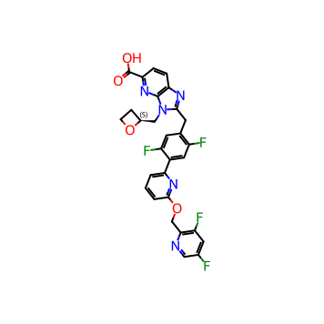 O=C(O)c1ccc2nc(Cc3cc(F)c(-c4cccc(OCc5ncc(F)cc5F)n4)cc3F)n(C[C@@H]3CCO3)c2n1